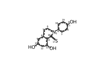 Oc1ccc(-n2ccc3cc(O)cc(O)c3c2=S)cc1